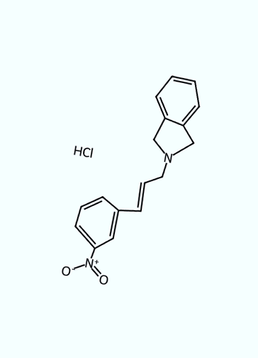 Cl.O=[N+]([O-])c1cccc(C=CCN2Cc3ccccc3C2)c1